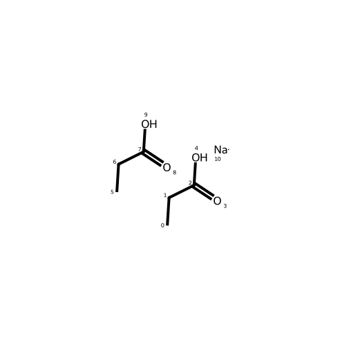 CCC(=O)O.CCC(=O)O.[Na]